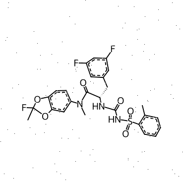 Cc1ccccc1S(=O)(=O)NC(=O)N[C@@H](Cc1cc(F)cc(F)c1)C(=O)N(C)c1ccc2c(c1)OC(C)(F)O2